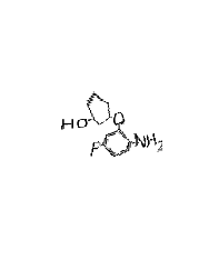 Nc1ccc(F)cc1O[C@H]1CCC[C@H](O)C1